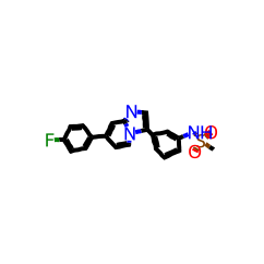 CS(=O)(=O)Nc1cccc(-c2cnc3cc(-c4ccc(F)cc4)ccn23)c1